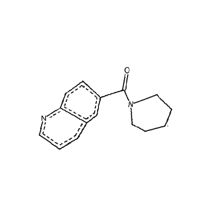 O=C(c1ccc2ncccc2c1)N1CC[CH]CC1